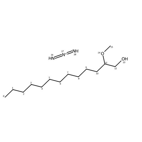 CCCCCCCCCCCC(CO)OC.N=[N+]=N